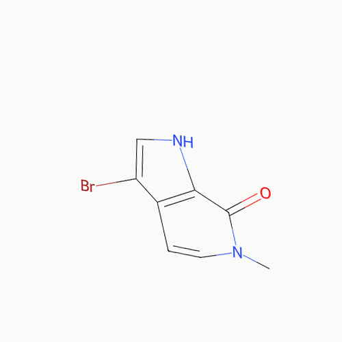 Cn1ccc2c(Br)c[nH]c2c1=O